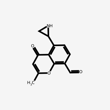 Cc1cc(=O)c2c(C3CN3)ccc(C=O)c2o1